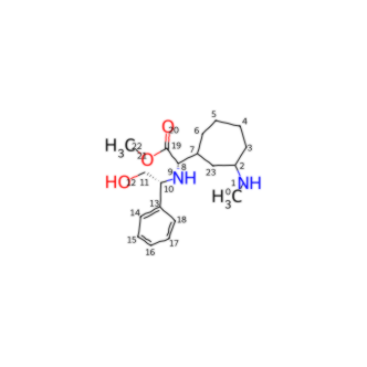 CNC1CCCCC([C@H](N[C@@H](CO)c2ccccc2)C(=O)OC)C1